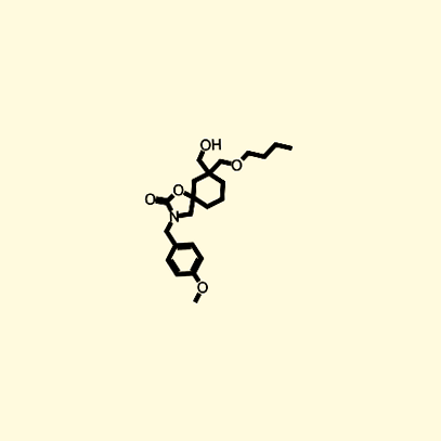 CCCCOCC1(CO)CCCC2(CN(Cc3ccc(OC)cc3)C(=O)O2)C1